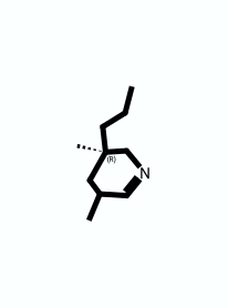 CCC[C@@]1(C)CN=CC(C)C1